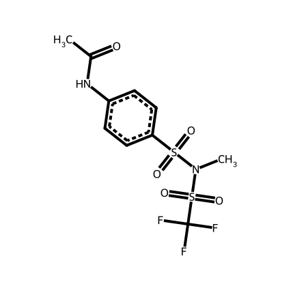 CC(=O)Nc1ccc(S(=O)(=O)N(C)S(=O)(=O)C(F)(F)F)cc1